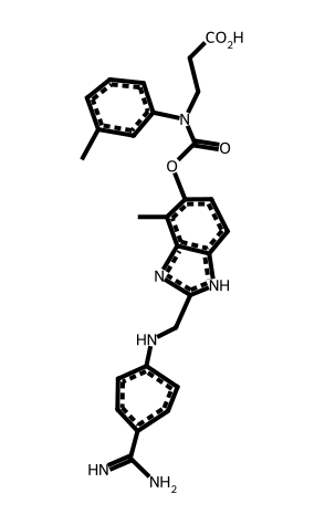 Cc1cccc(N(CCC(=O)O)C(=O)Oc2ccc3[nH]c(CNc4ccc(C(=N)N)cc4)nc3c2C)c1